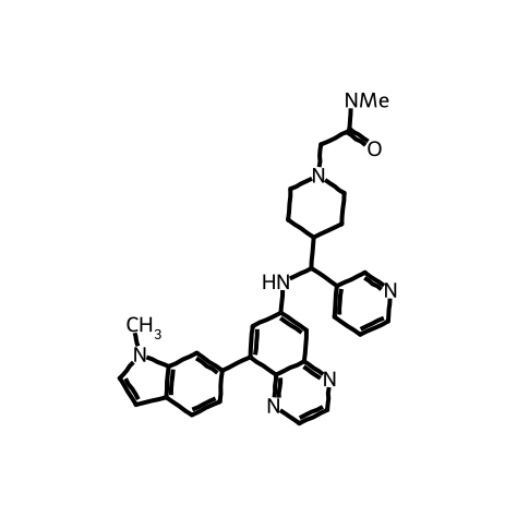 CNC(=O)CN1CCC(C(Nc2cc(-c3ccc4ccn(C)c4c3)c3nccnc3c2)c2cccnc2)CC1